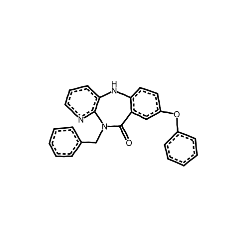 O=C1c2cc(Oc3ccccc3)ccc2Nc2cccnc2N1Cc1ccccc1